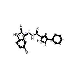 O=C1Nc2ccc(Br)cc2/C1=N\NC(=O)c1cc(-c2ccccc2)n[nH]1